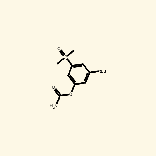 CC(C)(C)c1cc(OC(N)=O)cc(P(C)(C)=O)c1